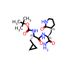 CC(C)(C)OC(=O)N[C@@H](CC1CC1)C(=O)N[C@@H](C[C@@H]1CCCNC1=O)C(N)=O